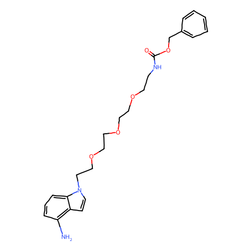 Nc1cccc2c1ccn2CCOCCOCCOCCNC(=O)OCc1ccccc1